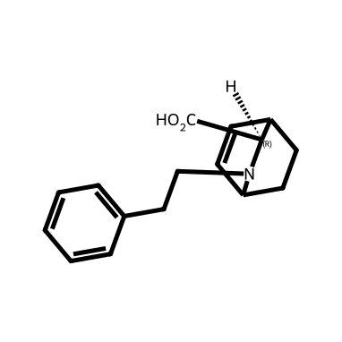 O=C(O)[C@H]1C2C=CC(CC2)N1CCc1ccccc1